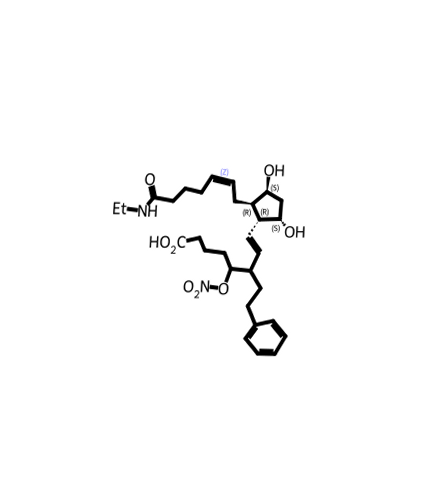 CCNC(=O)CCC/C=C\C[C@@H]1[C@@H](C=CC(CCc2ccccc2)C(CCCC(=O)O)O[N+](=O)[O-])[C@@H](O)C[C@@H]1O